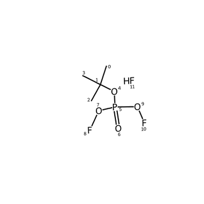 CC(C)(C)OP(=O)(OF)OF.F